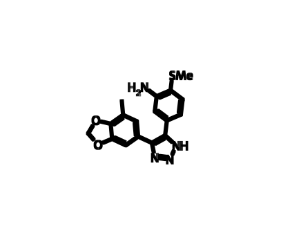 CSc1ccc(-c2[nH]nnc2-c2cc(C)c3c(c2)OCO3)cc1N